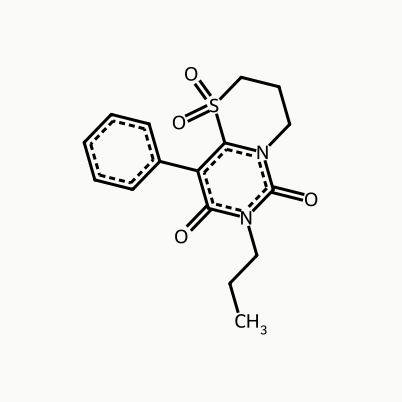 CCCn1c(=O)c(-c2ccccc2)c2n(c1=O)CCCS2(=O)=O